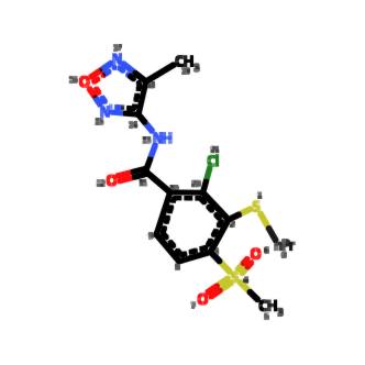 CCCSc1c(S(C)(=O)=O)ccc(C(=O)Nc2nonc2C)c1Cl